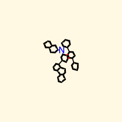 c1ccc(-c2ccc(-c3ccccc3N(c3cccc(-c4cccc5c4ccc4ccccc45)c3)c3ccc4ccccc4c3)cc2)cc1